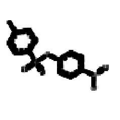 Cc1ccc(S(=O)(=O)Sc2ccc([N+](=O)[O-])cc2)cc1